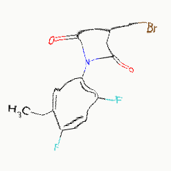 Cc1cc(N2C(=O)CC(CBr)C2=O)c(F)cc1F